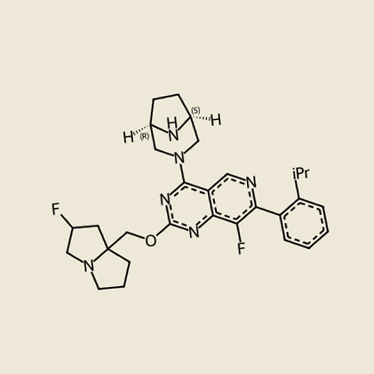 CC(C)c1ccccc1-c1ncc2c(N3C[C@H]4CC[C@@H](C3)N4)nc(OCC34CCCN3CC(F)C4)nc2c1F